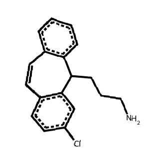 NCCCC1c2ccccc2C=Cc2ccc(Cl)cc21